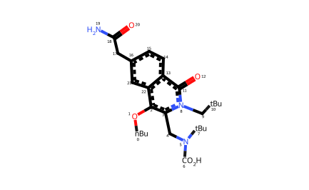 CCCCOc1c(CN(C(=O)O)C(C)(C)C)n(CC(C)(C)C)c(=O)c2ccc(CC(N)=O)cc12